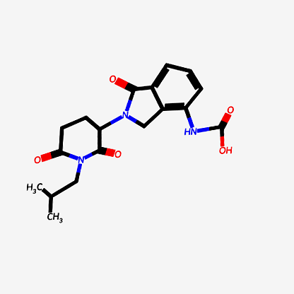 CC(C)CN1C(=O)CCC(N2Cc3c(NC(=O)O)cccc3C2=O)C1=O